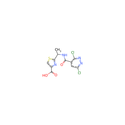 CC(NC(=O)c1cc(Cl)nnc1Cl)c1nc(C(=O)O)cs1